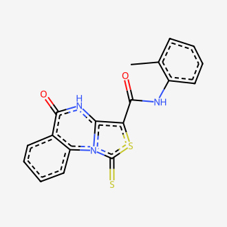 Cc1ccccc1NC(=O)c1sc(=S)n2c1[nH]c(=O)c1ccccc12